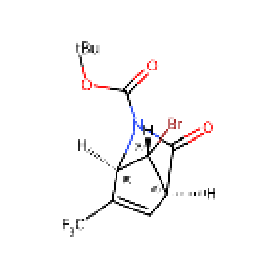 CC(C)(C)OC(=O)N1C(=O)[C@H]2C=C(C(F)(F)F)[C@@H]1[C@@H]2Br